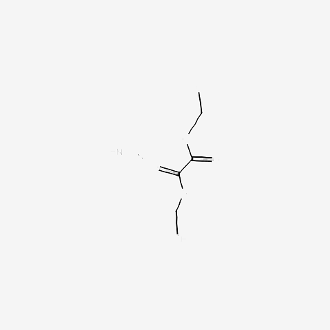 CCOC(=O)C(=O)OCC.[NaH].[NaH]